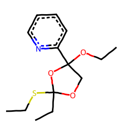 CCOC1(c2ccccn2)COC(CC)(SCC)O1